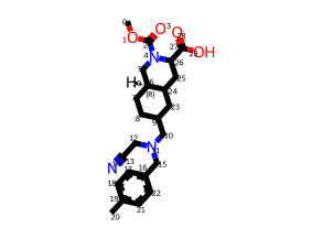 COC(=O)N1C[C@@H]2CCC(CN(CC#N)Cc3ccc(C)cc3)CC2CC1C(=O)O